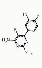 Nc1nc(N)c(F)c(-c2ccc(F)c(Cl)c2)n1